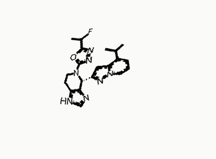 CC(C)c1cccn2nc([C@@H]3c4nc[nH]c4CCN3c3nnc(C(C)F)o3)cc12